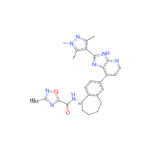 Cc1nn(C)c(C)c1-c1nc2c(-c3ccc4c(c3)CCCC[C@@H]4NC(=O)c3nc(C(C)(C)C)no3)ccnc2[nH]1